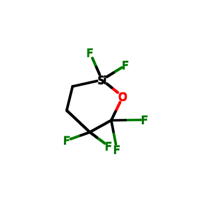 FC1(F)CC[Si](F)(F)OC1(F)F